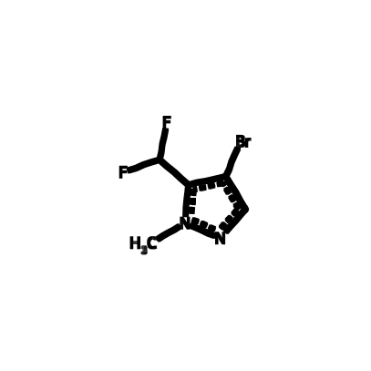 Cn1ncc(Br)c1C(F)F